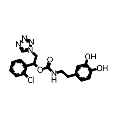 O=C(NCCc1ccc(O)c(O)c1)OC(Cn1cnnn1)c1ccccc1Cl